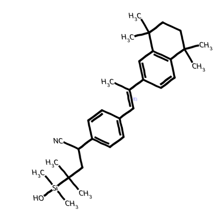 C/C(=C\c1ccc(C(C#N)CC(C)(C)[Si](C)(C)O)cc1)c1ccc2c(c1)C(C)(C)CCC2(C)C